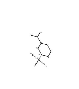 CC(C)C1CCC[C@H](C(F)(F)F)C1